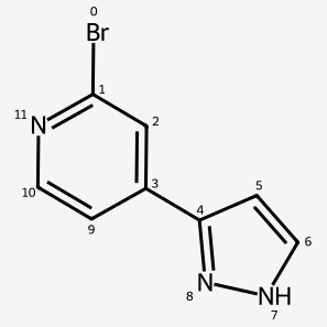 Brc1cc(-c2cc[nH]n2)ccn1